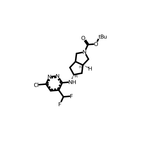 CC(C)(C)OC(=O)N1CC2C[C@@H](Nc3nnc(Cl)cc3C(F)F)C[C@@H]2C1